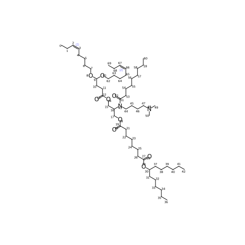 CC/C=C\CCCCOC(CCC(=O)OCC(COC(=O)CCCCCCC(=O)OC(CCCCCC)CCCCCC)N(CCCCN(C)C)C(=O)CCCCCCCC)OCCCC/C=C\CC